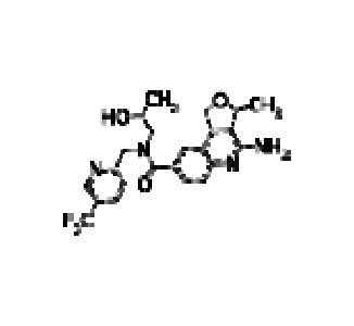 CC(O)CN(Cc1ccc(C(F)(F)F)cn1)C(=O)c1ccc2nc(N)c3c(c2c1)CO[C@H]3C